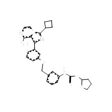 Nc1nccn2c(C3CCC3)nc(-c3cccc(OCc4cccc(NC(=O)OC5CCCO5)c4)c3)c12